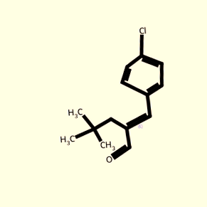 CC(C)(C)C/C(C=O)=C\c1ccc(Cl)cc1